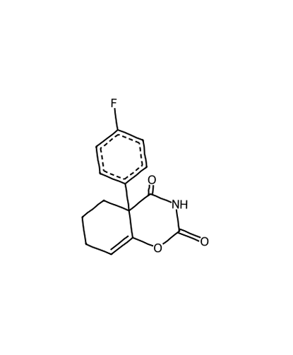 O=C1NC(=O)C2(c3ccc(F)cc3)CCCC=C2O1